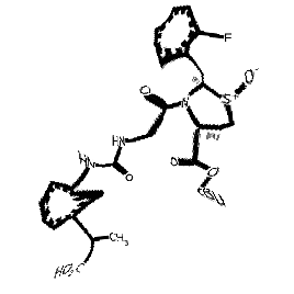 CC(C(=O)O)c1cccc(NC(=O)NCC(=O)N2[C@@H](c3ccccc3F)[S+]([O-])C[C@H]2C(=O)OC(C)(C)C)c1